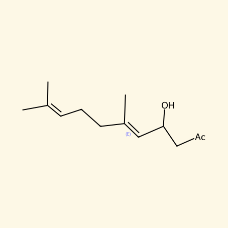 CC(=O)CC(O)/C=C(\C)CCC=C(C)C